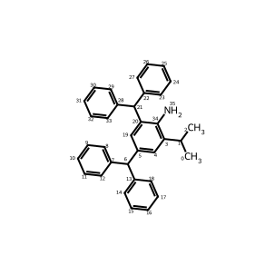 CC(C)c1cc(C(c2ccccc2)c2ccccc2)cc(C(c2ccccc2)c2ccccc2)c1N